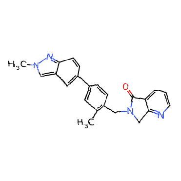 Cc1cc(-c2ccc3nn(C)cc3c2)ccc1CN1Cc2ncccc2C1=O